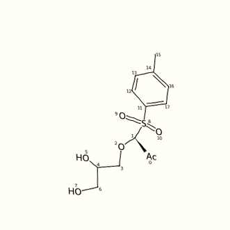 CC(=O)[C@@H](OCC(O)CO)S(=O)(=O)c1ccc(C)cc1